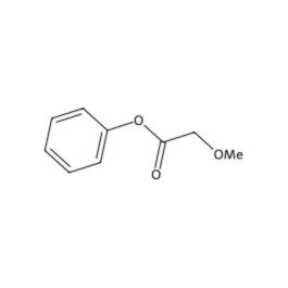 COCC(=O)Oc1ccccc1